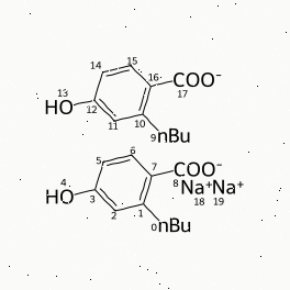 CCCCc1cc(O)ccc1C(=O)[O-].CCCCc1cc(O)ccc1C(=O)[O-].[Na+].[Na+]